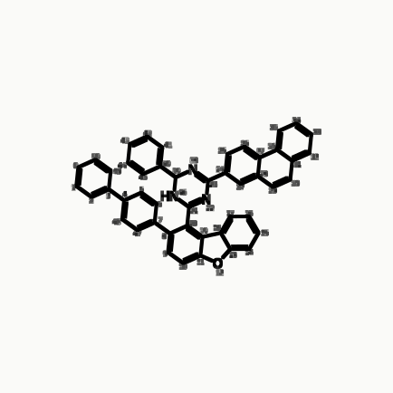 c1ccc(-c2ccc(-c3ccc4oc5ccccc5c4c3C3=NC(c4ccc5c(ccc6ccccc65)c4)=NC(c4ccccc4)N3)cc2)cc1